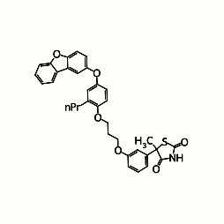 CCCc1cc(Oc2ccc3oc4ccccc4c3c2)ccc1OCCCOc1cccc(C2(C)SC(=O)NC2=O)c1